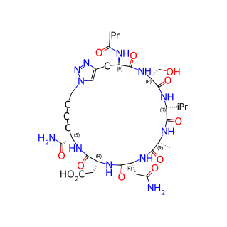 CC(C)C(=O)N[C@@H]1Cc2cn(nn2)CCCC[C@@H](C(N)=O)NC(=O)[C@@H](CC(=O)O)NC(=O)[C@@H](CC(N)=O)NC(=O)[C@@H](C)NC(=O)[C@@H](C(C)C)NC(=O)[C@@H](CO)NC1=O